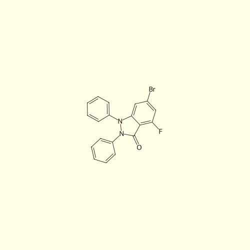 O=c1c2c(F)cc(Br)cc2n(-c2ccccc2)n1-c1ccccc1